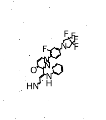 N=C/C=C(\Nc1ccccc1)c1nn(-c2ccc(N3CC(F)(F)C(F)(F)C3)cc2F)ccc1=O